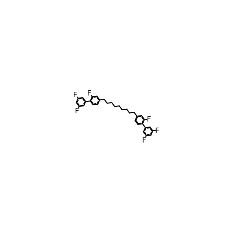 Fc1cc(F)cc(-c2ccc(CCCCCCCCCc3ccc(-c4cc(F)cc(F)c4)c(F)c3)cc2F)c1